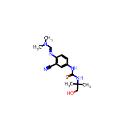 CN(C)C=Nc1ccc(NC(=S)NC(C)(C)CO)cc1C#N